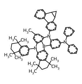 Cc1cc2c3c(c1)N(c1ccc4c(c1)C(C)(C)CCC4(C)C)c1cc4c(cc1B3c1ccc(N(c3ccccc3)c3ccccc3)cc1N2c1ccc2c(c1)-c1ccccc1C1CC21)C(C)(C)CCC4(C)C